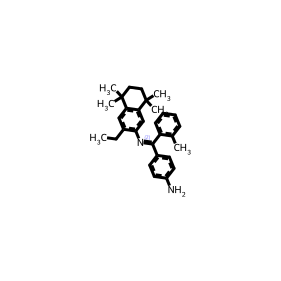 CCc1cc2c(cc1/N=C(/c1ccc(N)cc1)c1ccccc1C)C(C)(C)CCC2(C)C